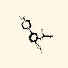 Cc1ccc(N2CCN(C)CC2)cc1OC(F)F